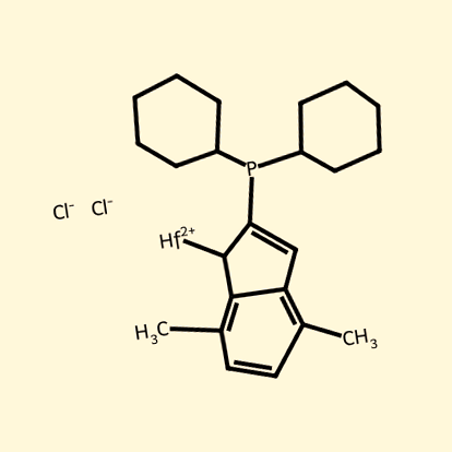 Cc1ccc(C)c2c1C=C(P(C1CCCCC1)C1CCCCC1)[CH]2[Hf+2].[Cl-].[Cl-]